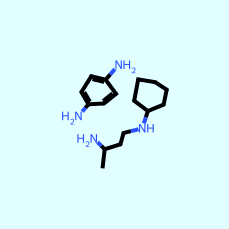 CC(N)CCNC1CCCCC1.Nc1ccc(N)cc1